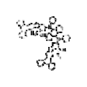 CC1(C)C=C(N(c2ccccc2)c2c3ccccc3c(N(C3=CC(C)(C)C4=c5cc6c7ccccc7c7ccccc7c6cc5=CC4=C3)c3ccccc3)c3ccccc23)C=C2C=c3cc4c5ccccc5c5ccccc5c4cc3=C21